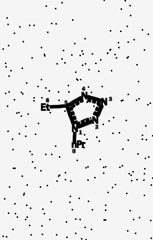 CCCn1nnnc1CC